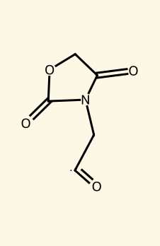 O=[C]CN1C(=O)COC1=O